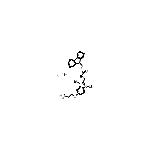 CCn1c(CNC(=O)OCC2c3ccccc3-c3ccccc32)[n+](CC)c2cc(OCCN)ccc21.Cl.[Cl-]